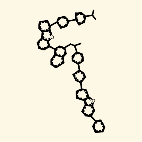 CC(C)c1ccc(-c2ccc(-c3cccc4c3oc3c(-c5cc(CC(C)c6ccc(-c7ccc(-c8ccc9c(c8)oc8cc(-c%10ccccc%10)ccc89)cc7)cc6)cc6ccccc56)cccc34)cc2)cc1